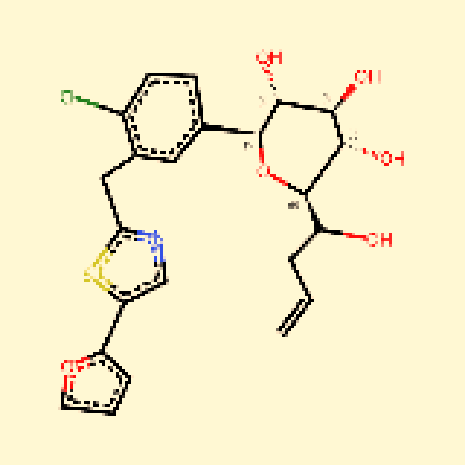 C=CCC(O)[C@H]1O[C@@H](c2ccc(Cl)c(Cc3ncc(-c4ccco4)s3)c2)[C@H](O)[C@@H](O)[C@@H]1O